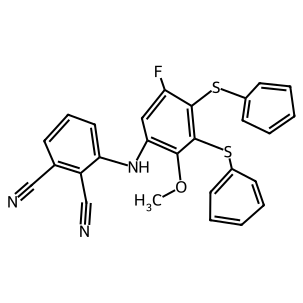 COc1c(Nc2cccc(C#N)c2C#N)cc(F)c(Sc2ccccc2)c1Sc1ccccc1